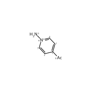 CC(=O)c1cc[n+](N)cc1